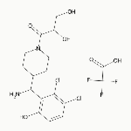 NC(c1c(O)ccc(Cl)c1Cl)C1CCN(C(=O)C(O)CO)CC1.O=C(O)C(F)(F)F